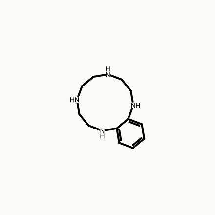 c1ccc2c(c1)NCCNCCNCCN2